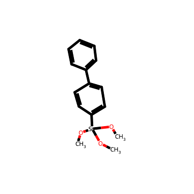 CO[Si](OC)(OC)c1ccc(-c2ccccc2)cc1